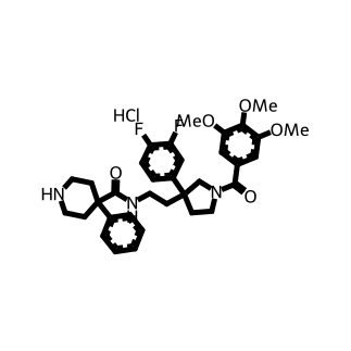 COc1cc(C(=O)N2CCC(CCNC(=O)C3(c4ccccc4)CCNCC3)(c3ccc(F)c(F)c3)C2)cc(OC)c1OC.Cl